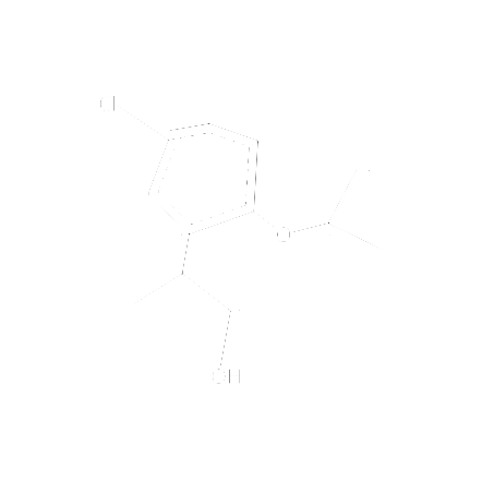 C[C](CO)c1cc(Cl)ccc1OC(C)C